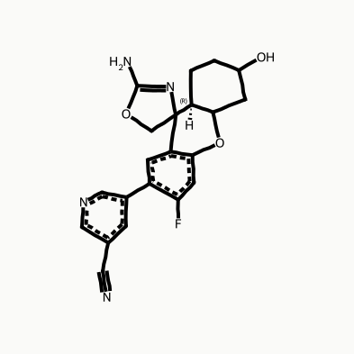 N#Cc1cncc(-c2cc3c(cc2F)OC2CC(O)CC[C@@H]2C32COC(N)=N2)c1